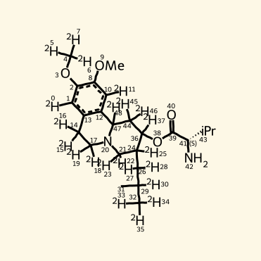 [2H]c1c(OC([2H])([2H])[2H])c(OC)c([2H])c2c1C([2H])([2H])C([2H])([2H])N1C([2H])([2H])C([2H])(C([2H])([2H])C([2H])(C)C([2H])([2H])[2H])C([2H])(OC(=O)[C@@H](N)C(C)C)C([2H])([2H])C21[2H]